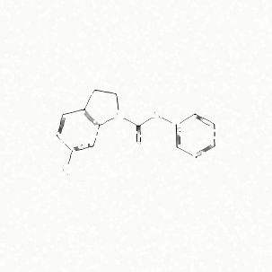 O=C(Nc1ccccc1)N1CCc2ccc([N+](=O)[O-])cc21